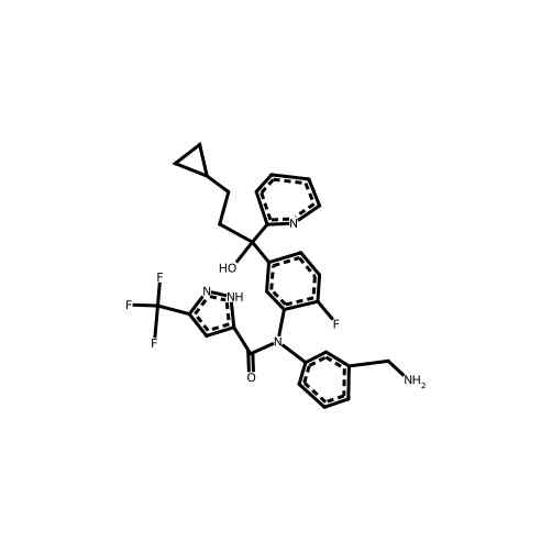 NCc1cccc(N(C(=O)c2cc(C(F)(F)F)n[nH]2)c2cc(C(O)(CCC3CC3)c3ccccn3)ccc2F)c1